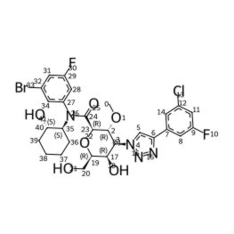 CO[C@@H]1[C@@H](n2cc(-c3cc(F)cc(Cl)c3)nn2)[C@@H](O)[C@@H](CO)O[C@H]1C(=O)N(c1cc(F)cc(Br)c1)[C@H]1CCCC[C@@H]1O